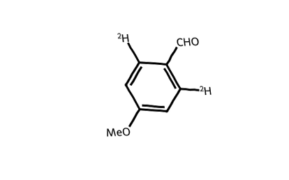 [2H]c1cc(OC)cc([2H])c1C=O